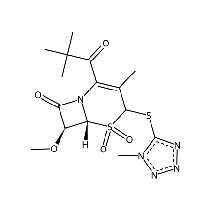 CO[C@H]1C(=O)N2C(C(=O)C(C)(C)C)=C(C)C(Sc3nnnn3C)S(=O)(=O)[C@H]12